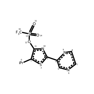 CC(C)c1sc(-c2cnccn2)nc1OS(=O)(=O)C(F)(F)F